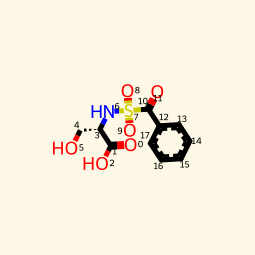 O=C(O)[C@H](CO)NS(=O)(=O)C(=O)c1ccccc1